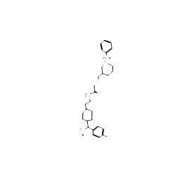 CN(C)C(c1ccc(F)cc1)C1CCC(CCNC(=O)COCC2CCCN(S(=O)(=O)c3ccccc3)C2)CC1